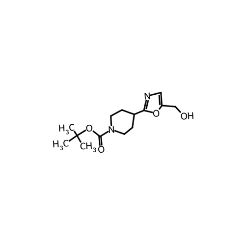 CC(C)(C)OC(=O)N1CCC(c2ncc(CO)o2)CC1